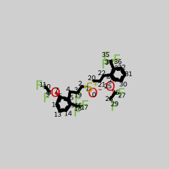 [O-][S+](CCCc1c(OC(F)CF)cccc1C(F)(F)F)CCCc1c(OC(F)CF)cccc1C(F)(F)F